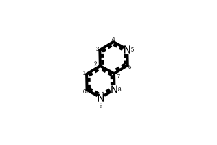 [c]1cc2ccncc2nn1